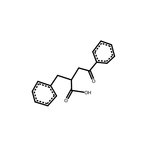 O=C(CC(Cc1ccccc1)C(=O)O)c1ccccc1